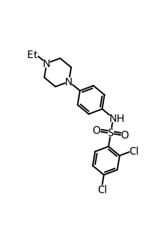 CCN1CCN(c2ccc(NS(=O)(=O)c3ccc(Cl)cc3Cl)cc2)CC1